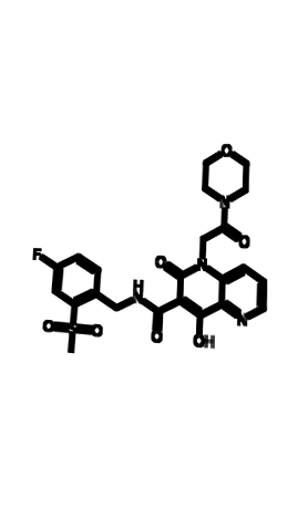 CS(=O)(=O)c1cc(F)ccc1CNC(=O)c1c(O)c2ncccc2n(CC(=O)N2CCOCC2)c1=O